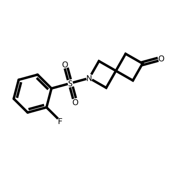 O=C1CC2(C1)CN(S(=O)(=O)c1ccccc1F)C2